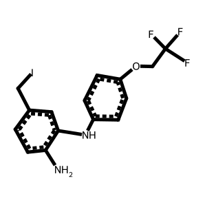 Nc1ccc(CI)cc1Nc1ccc(OCC(F)(F)F)cc1